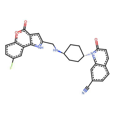 N#Cc1ccc2ccc(=O)n([C@H]3CC[C@H](NCc4cc5c(=O)oc6ccc(F)cc6c5[nH]4)CC3)c2c1